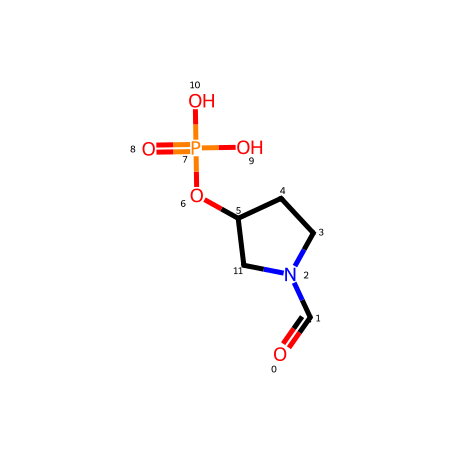 O=[C]N1CCC(OP(=O)(O)O)C1